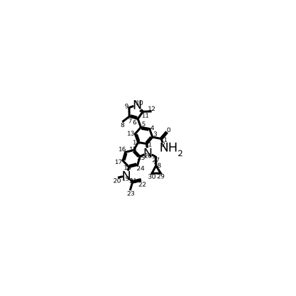 C=C(N)c1cc(C2=C(C)CN=C2C)cc2c3ccc(N(C)C(=C)C)cc3n(CC3CC3)c12